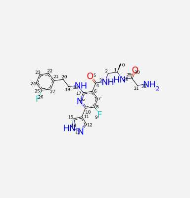 C[C@H](CNC(=O)c1cc(F)c(-c2cn[nH]c2)nc1NCCc1cccc(F)c1)NC(=O)CN